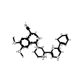 COc1cc2c(C#N)cnc(N3CCNC(C4=COC=C(C5=CC=CCC5)O4)C3)c2cc1OC